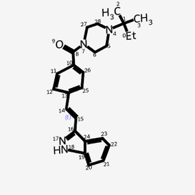 CCC(C)(C)N1CCN(C(=O)c2ccc(/C=C/c3n[nH]c4ccccc34)cc2)CC1